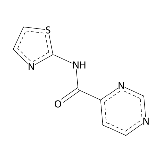 O=C(Nc1nccs1)c1ccncn1